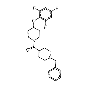 O=C(C1CCN(Cc2ccccc2)CC1)N1CCC(Oc2c(F)cc(F)cc2F)CC1